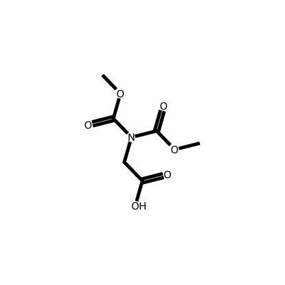 COC(=O)N(CC(=O)O)C(=O)OC